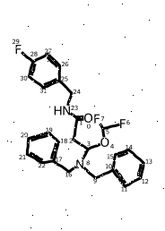 O=C(CC(OC(F)F)N(Cc1ccccc1)Cc1ccccc1)NCc1ccc(F)cc1